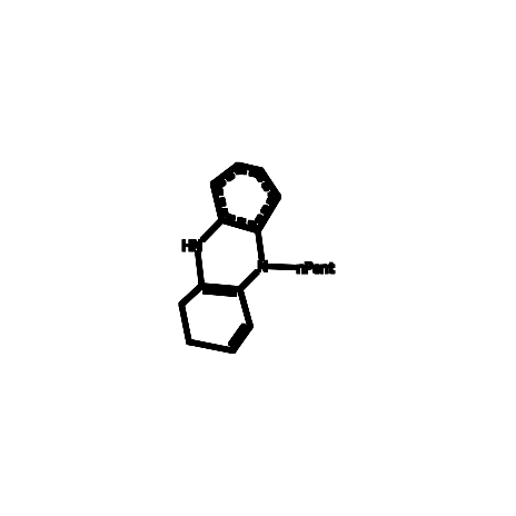 CCCCCN1C2=C(CCC=C2)Nc2ccccc21